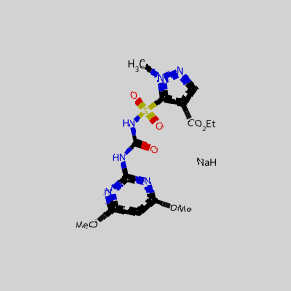 CCOC(=O)c1cnn(C)c1S(=O)(=O)NC(=O)Nc1nc(OC)cc(OC)n1.[NaH]